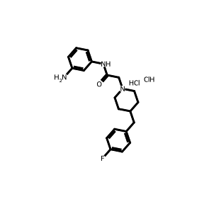 Cl.Cl.Nc1cccc(NC(=O)CN2CCC(Cc3ccc(F)cc3)CC2)c1